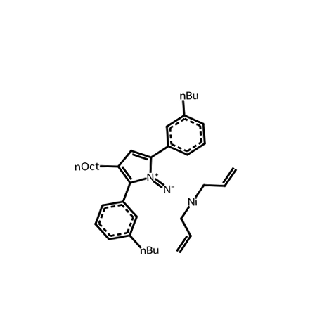 C=C[CH2][Ni][CH2]C=C.CCCCCCCCC1=C(c2cccc(CCCC)c2)[N+](=[N-])C(c2cccc(CCCC)c2)=C1